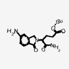 CC(C)(C)OC(=O)CCC(C(N)=O)N1Cc2cc(N)ccc2C1=O